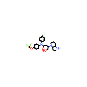 O=C(CC(CO)N1CCCC2NCCC21)N(c1ccc(Cl)cc1)c1ccc(OC(F)(F)F)cc1